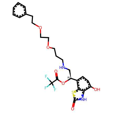 O=C(O[C@@H](CNCCCOCCOCCc1ccccc1)c1ccc(O)c2[nH]c(=O)sc12)C(F)(F)F